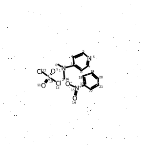 CN(C)c1ccncc1.O=S(=O)(Cl)Cl.O=[N+]([O-])c1ccccc1